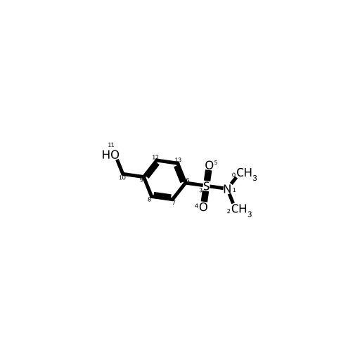 CN(C)S(=O)(=O)c1ccc(CO)cc1